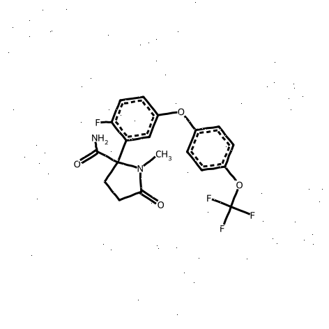 CN1C(=O)CCC1(C(N)=O)c1cc(Oc2ccc(OC(F)(F)F)cc2)ccc1F